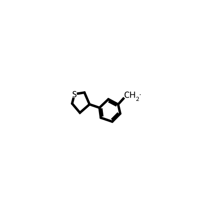 [CH2]c1cccc(C2CCSC2)c1